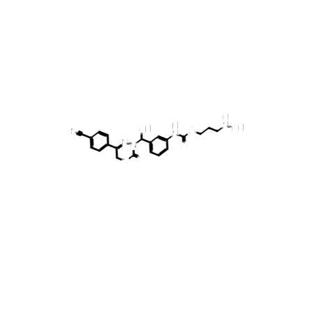 CNCCCOC(=O)Nc1cccc(C(C)N2N=C(c3ccc(C#N)cc3)CSC2=O)c1